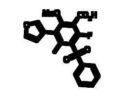 COc1c(C(=O)O)c(F)c(S(=O)(=O)c2ccccc2)c(C)c1-c1ccoc1